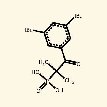 CC(C)(C)c1cc(C(=O)C(C)(C)P(=O)(O)O)cc(C(C)(C)C)c1